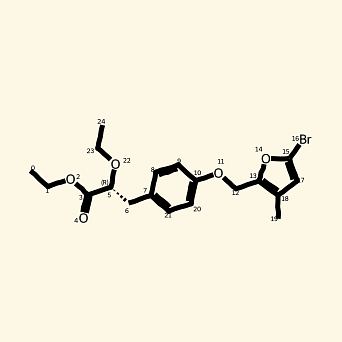 CCOC(=O)[C@@H](Cc1ccc(OCc2oc(Br)cc2C)cc1)OCC